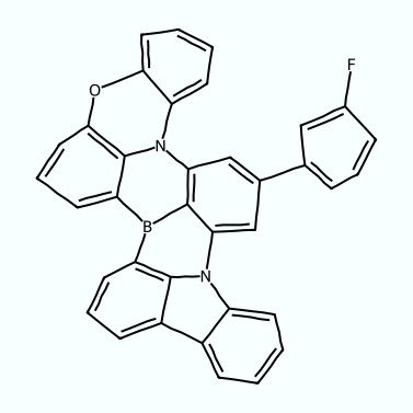 Fc1cccc(-c2cc3c4c(c2)-n2c5ccccc5c5cccc(c52)B4c2cccc4c2N3c2ccccc2O4)c1